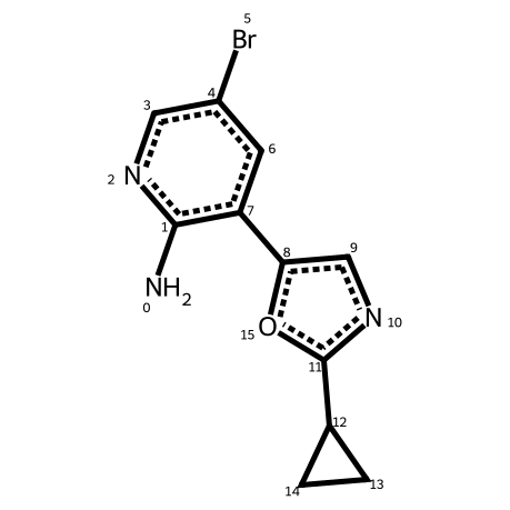 Nc1ncc(Br)cc1-c1cnc(C2CC2)o1